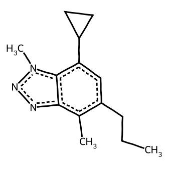 CCCc1cc(C2CC2)c2c(nnn2C)c1C